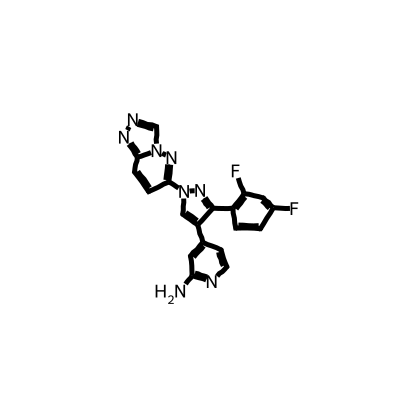 Nc1cc(-c2cn(-c3ccc4nncn4n3)nc2-c2ccc(F)cc2F)ccn1